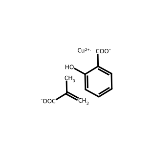 C=C(C)C(=O)[O-].O=C([O-])c1ccccc1O.[Cu+2]